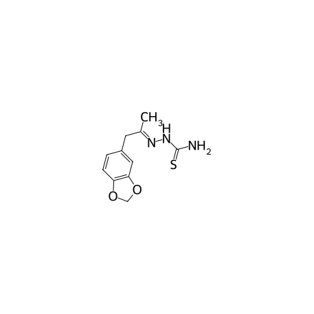 CC(Cc1ccc2c(c1)OCO2)=NNC(N)=S